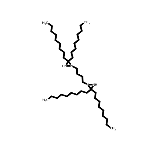 CCCCCCCCCC1(CCCCCCCCC)NN1CCCCN1NC1(CCCCCCCCC)CCCCCCCCC